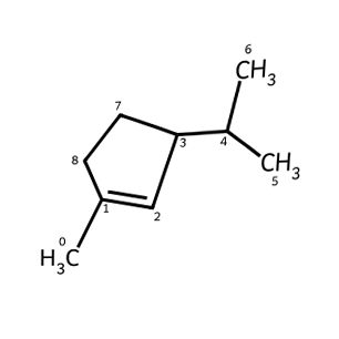 CC1=CC(C(C)C)CC1